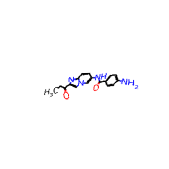 CCC(=O)c1cn2cc(NC(=O)c3ccc(N)cc3)ccc2n1